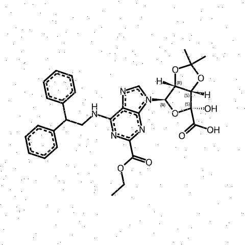 CCOC(=O)c1nc(NCC(c2ccccc2)c2ccccc2)c2ncn([C@@H]3O[C@](O)(C(=O)O)[C@H]4OC(C)(C)O[C@@H]34)c2n1